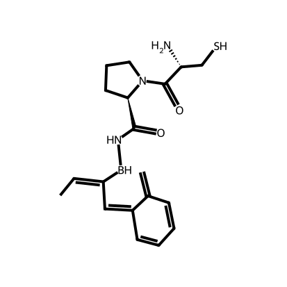 C=c1cccc/c1=C/C(BNC(=O)[C@H]1CCCN1C(=O)[C@H](N)CS)=C\C